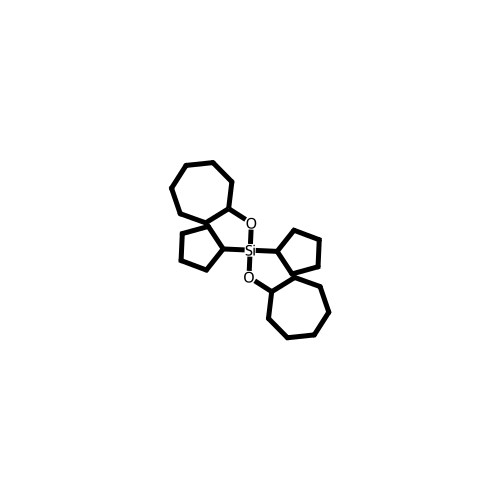 C1CCCC(O[Si](OC2CCCCCC2)(C2CCCC2)C2CCCC2)CC1